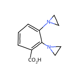 O=C(O)c1cccc(N2CC2)c1N1CC1